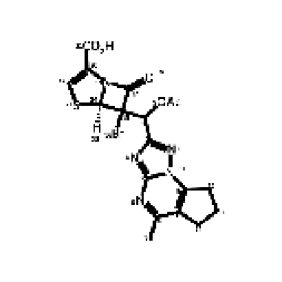 CC(=O)OC(c1nc2nc(C)c3c(n2n1)CCC3)C1(Br)C(=O)N2C(C(=O)O)=CS[C@@H]21